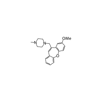 COc1ccc2c(c1)C(CN1CCN(C)CC1)=Cc1ccccc1O2